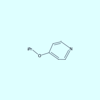 CC(C)Oc1c[c]ncc1